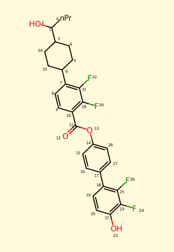 CCCC(O)C1CCC(c2ccc(C(=O)Oc3ccc(-c4ccc(O)c(F)c4F)cc3)c(F)c2F)CC1